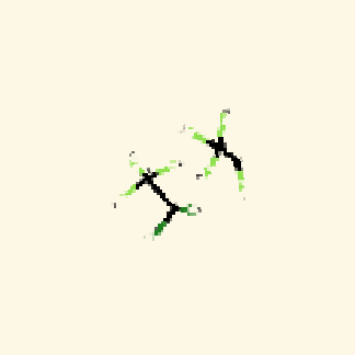 FC(F)(F)C(Cl)Cl.FCC(F)(F)F